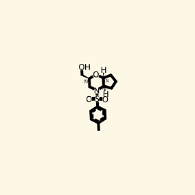 Cc1ccc(S(=O)(=O)N2C[C@@H](CO)O[C@H]3CCC[C@H]32)cc1